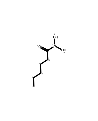 CCCCCC(=O)N(O)O